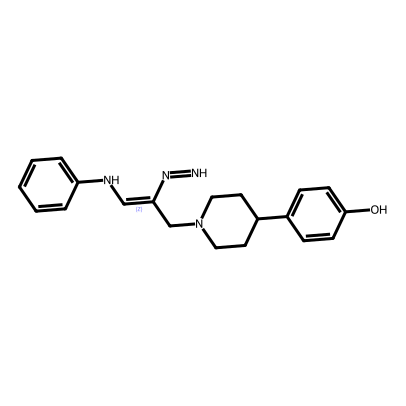 N=N/C(=C\Nc1ccccc1)CN1CCC(c2ccc(O)cc2)CC1